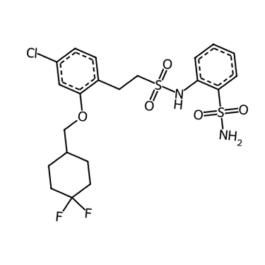 NS(=O)(=O)c1ccccc1NS(=O)(=O)CCc1ccc(Cl)cc1OCC1CCC(F)(F)CC1